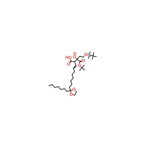 CCCCCCCC1(CCCCCCC=CC(C(=O)O)C(O)(CCO[Si](C)(C)C(C)(C)C)C(=O)OC(C)(C)C)OCCO1